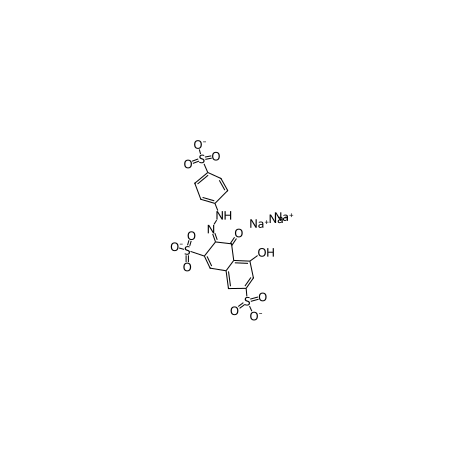 O=C1/C(=N\Nc2ccc(S(=O)(=O)[O-])cc2)C(S(=O)(=O)[O-])=Cc2cc(S(=O)(=O)[O-])cc(O)c21.[Na+].[Na+].[Na+]